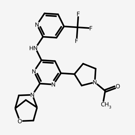 CC(=O)N1CCC(c2cc(Nc3cc(C(F)(F)F)ccn3)nc(N3CC4CC3CO4)n2)C1